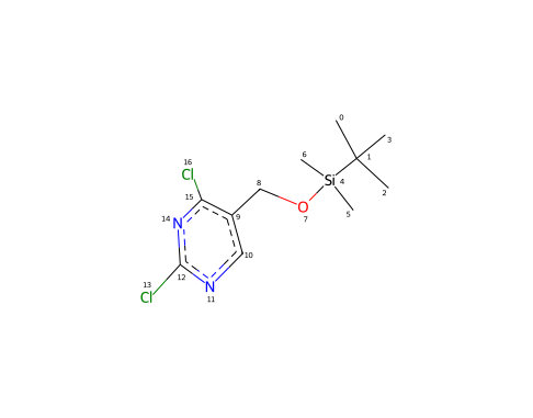 CC(C)(C)[Si](C)(C)OCc1cnc(Cl)nc1Cl